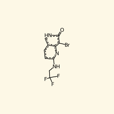 O=c1[nH]cc2ccc(NCC(F)(F)F)nc2c1Br